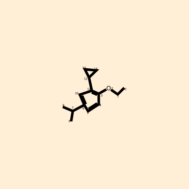 CCOc1ccc([C](C)C)cc1C1CC1